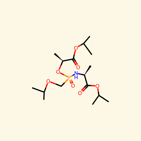 CC(C)OCP(=O)(N[C@@H](C)C(=O)OC(C)C)O[C@@H](C)C(=O)OC(C)C